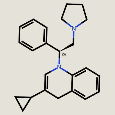 C1=C(C2CC2)Cc2ccccc2N1[C@H](CN1CCCC1)c1ccccc1